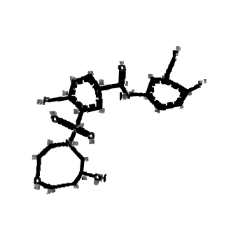 O=C(Nc1ccc(F)c(F)c1)c1ccc(F)c(S(=O)(=O)N2CCOCCC(O)C2)c1